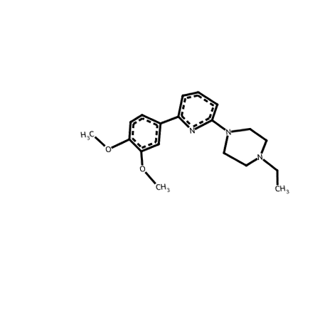 CCN1CCN(c2cccc(-c3ccc(OC)c(OC)c3)n2)CC1